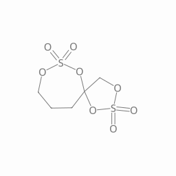 O=S1(=O)OCCCC2(COS(=O)(=O)O2)O1